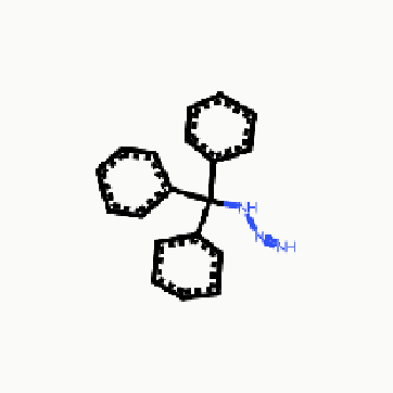 N=NNC(c1ccccc1)(c1ccccc1)c1ccccc1